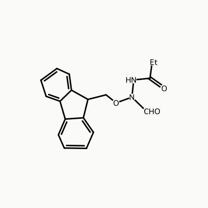 CCC(=O)NN(C=O)OCC1c2ccccc2-c2ccccc21